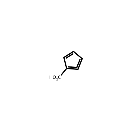 O=C(O)C1=C=CC=C1